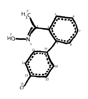 CC(=NO)c1ccccc1-c1ccc(Cl)cc1